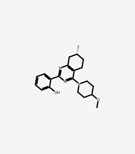 COC1CCN(c2nc(-c3ccccc3O)nc3c2CC[C@@H](C)C3)CC1